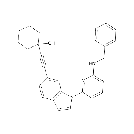 OC1(C#Cc2ccc3ccn(-c4ccnc(NCc5ccccc5)n4)c3c2)CCCCC1